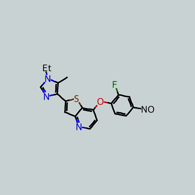 CCn1cnc(-c2cc3nccc(Oc4ccc(N=O)cc4F)c3s2)c1C